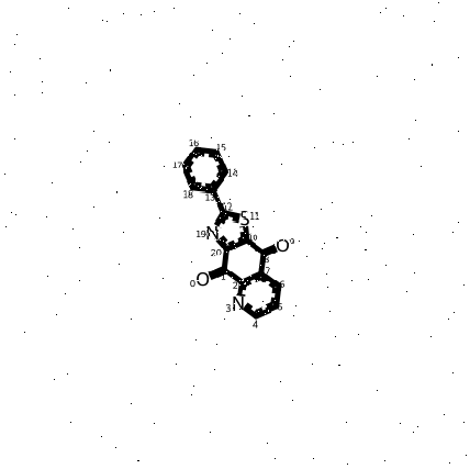 O=C1c2ncccc2C(=O)c2sc(-c3ccccc3)nc21